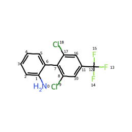 Nc1ccccc1-c1c(Cl)cc(C(F)(F)F)cc1Cl